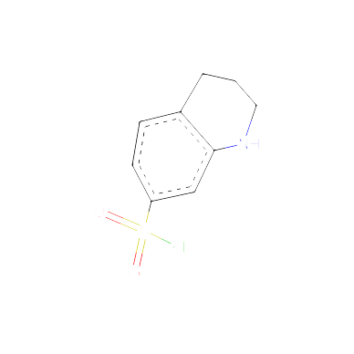 O=S(=O)(Cl)c1ccc2c(c1)NCCC2